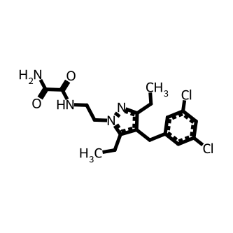 CCc1nn(CCNC(=O)C(N)=O)c(CC)c1Cc1cc(Cl)cc(Cl)c1